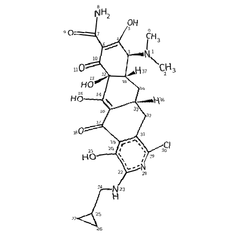 CN(C)[C@@H]1C(O)=C(C(N)=O)C(=O)[C@@]2(O)C(O)=C3C(=O)c4c(O)c(NCC5CC5)nc(Cl)c4C[C@H]3C[C@@H]12